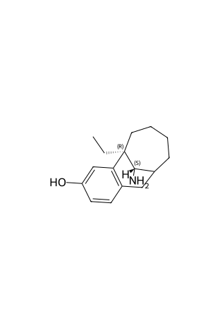 CC[C@@]12CCCCC(Cc3ccc(O)cc31)[C@@H]2N